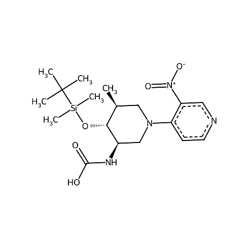 C[C@H]1CN(c2ccncc2[N+](=O)[O-])C[C@@H](NC(=O)O)[C@@H]1O[Si](C)(C)C(C)(C)C